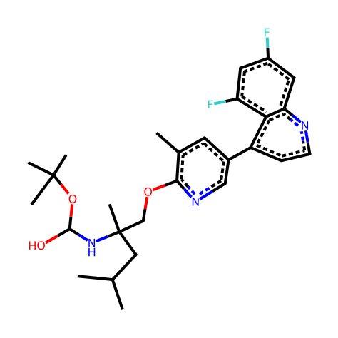 Cc1cc(-c2ccnc3cc(F)cc(F)c23)cnc1OCC(C)(CC(C)C)NC(O)OC(C)(C)C